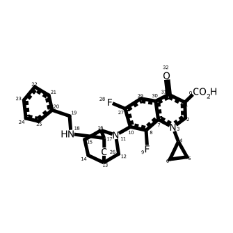 O=C(O)c1cn(C2CC2)c2c(F)c(N3CC4CCC3C(NCc3ccccc3)C4)c(F)cc2c1=O